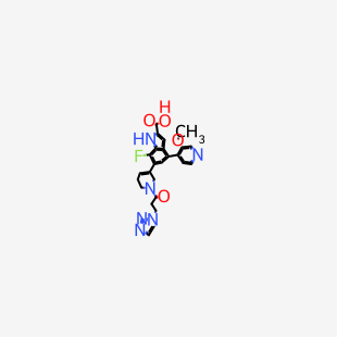 COc1cnccc1-c1cc(C2=CCCN(C(=O)CCn3ccnn3)C2)c(F)c2[nH]c(C(=O)O)cc12